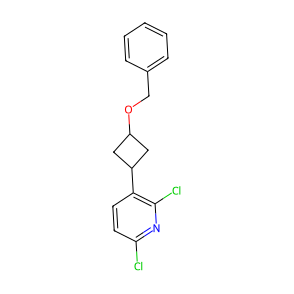 Clc1ccc(C2CC(OCc3ccccc3)C2)c(Cl)n1